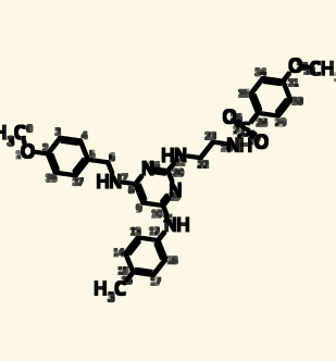 COc1ccc(CNc2cc(Nc3ccc(C)cc3)nc(NCCNS(=O)(=O)c3ccc(OC)cc3)n2)cc1